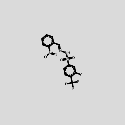 O=[N+]([O-])c1ccccc1C=NNS(=O)(=O)c1ccc(C(F)(F)F)c(Cl)c1